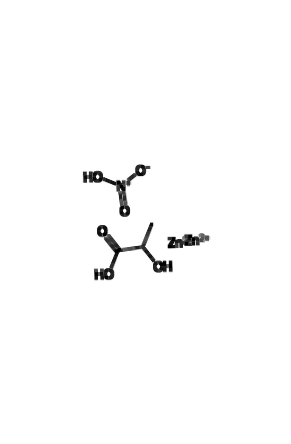 CC(O)C(=O)O.O=[N+]([O-])O.[Zn+2].[Zn+2]